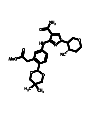 COC(=O)Cc1cc(Nc2nn(C3COCC[C@@H]3C#N)cc2C(N)=O)ccc1B1OCC(C)(C)CO1